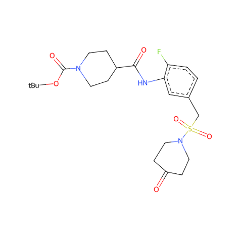 CC(C)(C)OC(=O)N1CCC(C(=O)Nc2cc(CS(=O)(=O)N3CCC(=O)CC3)ccc2F)CC1